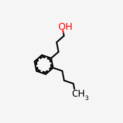 CCCCc1ccccc1CCCO